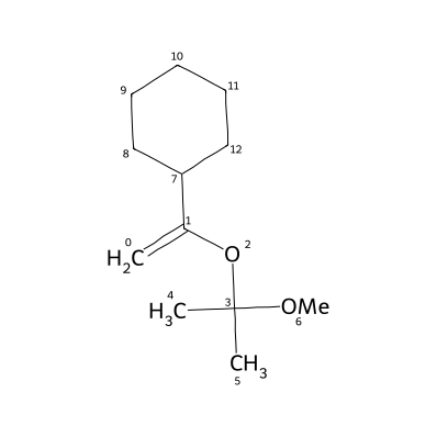 C=C(OC(C)(C)OC)C1CCCCC1